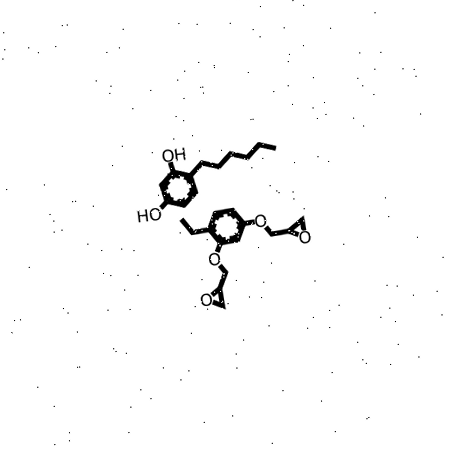 CCCCCCc1ccc(O)cc1O.CCc1ccc(OCC2CO2)cc1OCC1CO1